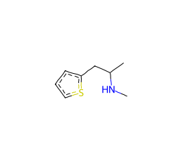 CNC(C)Cc1cccs1